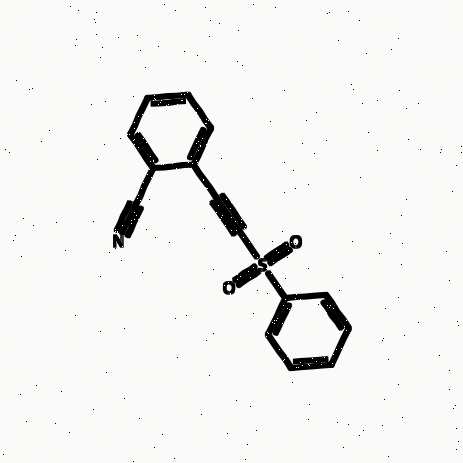 N#Cc1ccccc1C#CS(=O)(=O)c1ccccc1